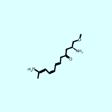 COC[C@@H](N)CC(=O)C/C=C/C=C\C=C(/C)N